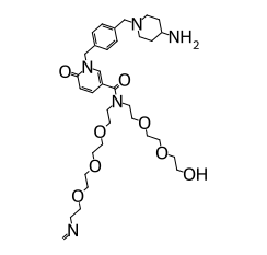 C=NCCOCCOCCOCCN(CCOCCOCCO)C(=O)c1ccc(=O)n(Cc2ccc(CN3CCC(N)CC3)cc2)c1